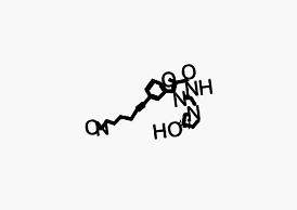 O=NCCCCC#Cc1ccc2oc3c(=O)[nH]c(CN4CC[C@H](O)C4)nc3c2c1